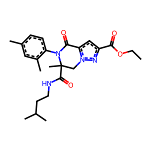 CCOC(=O)c1cc2n(n1)CC(C)(C(=O)NCCC(C)C)N(c1ccc(C)cc1C)C2=O